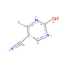 Cc1nc(O)n[c]c1C#N